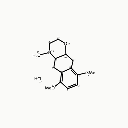 COc1ccc(SC)c2c1CC1C(C2)OCCN1C.Cl